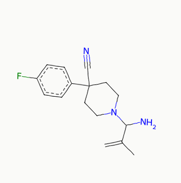 C=C(C)C(N)N1CCC(C#N)(c2ccc(F)cc2)CC1